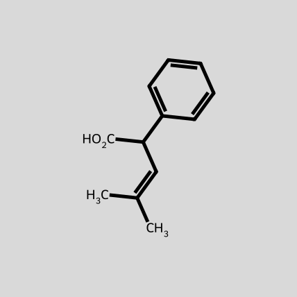 CC(C)=CC(C(=O)O)c1ccccc1